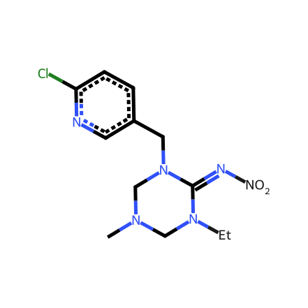 CCN1CN(C)CN(Cc2ccc(Cl)nc2)C1=N[N+](=O)[O-]